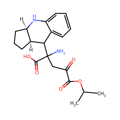 CC(C)OC(=O)C(=O)CC(N)(C(=O)O)C1c2ccccc2N[C@@H]2CCC[C@H]12